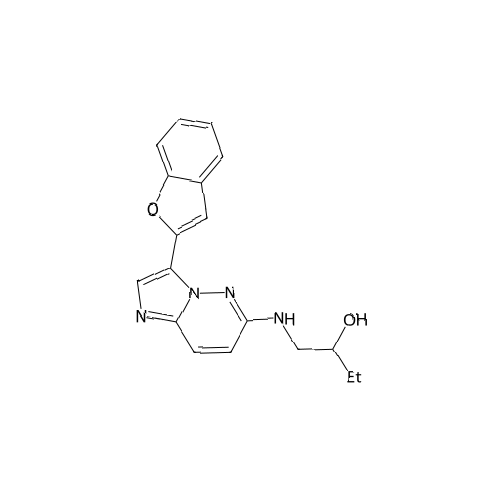 CCC(O)CNc1ccc2ncc(-c3cc4ccccc4o3)n2n1